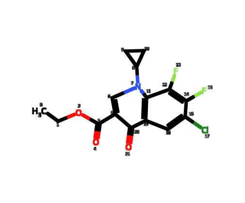 CCOC(=O)c1cn(C2CC2)c2c(F)c(F)c(Cl)cc2c1=O